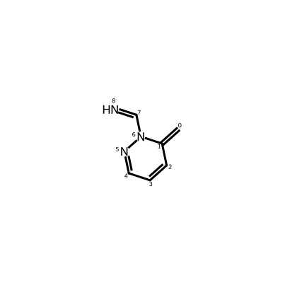 C=C1C=CC=NN1C=N